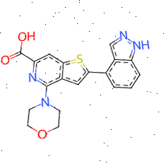 O=C(O)c1cc2sc(-c3cccc4[nH]ncc34)cc2c(N2CCOCC2)n1